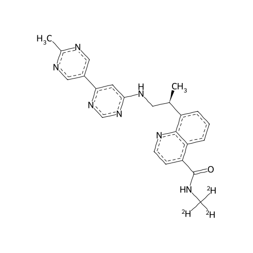 [2H]C([2H])([2H])NC(=O)c1ccnc2c([C@H](C)CNc3cc(-c4cnc(C)nc4)ncn3)cccc12